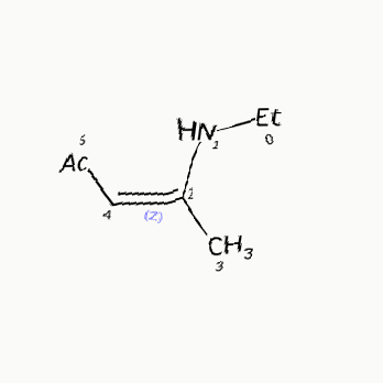 CCN/C(C)=C\C(C)=O